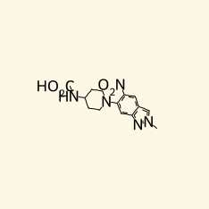 Cn1cc2cc([N+](=O)[O-])c(N3CCC(NC(=O)O)CC3)cc2n1